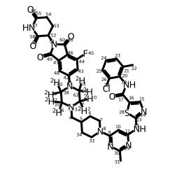 [2H]C1([2H])N(CC2CCN(c3cc(Nc4ncc(C(=O)Nc5c(C)cccc5Cl)s4)nc(C)n3)CC2)C([2H])([2H])C([2H])([2H])N(c2cc(F)c3c(c2)C(=O)N(C2CCC(=O)NC2=O)C3=O)C1([2H])[2H]